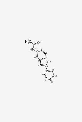 CC(=O)Nc1ccc2oc(-c3ccncc3)nc2c1